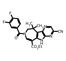 CCOC(=O)C1=CN(C(=O)c2ccc(F)c(F)c2)CC(C)(C)c2c1[nH]c1nc(C#N)cnc21